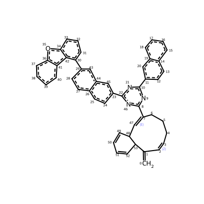 C=C1/C=C\CCC/C(c2nc(-c3ccc4ccccc4c3)nc(-c3ccc4ccc(-c5cccc6oc7ccccc7c56)cc4c3)n2)=C\C2C=CC=CC12